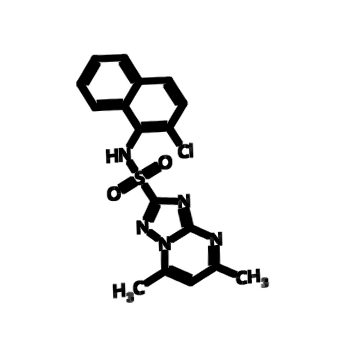 Cc1cc(C)n2nc(S(=O)(=O)Nc3c(Cl)ccc4ccccc34)nc2n1